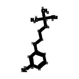 CC(C)(C)[Si](C)(C)OCCOc1cccc(C#N)c1